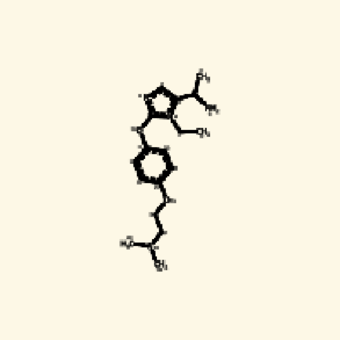 CCn1c(C(C)N)cnc1Oc1ccc(OCCN(C)C)cc1